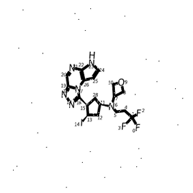 FC(F)(F)CCN(C1COC1)[C@H]1C[C@@H](I)[C@@H](c2nnc3cnc4[nH]ccc4n23)C1